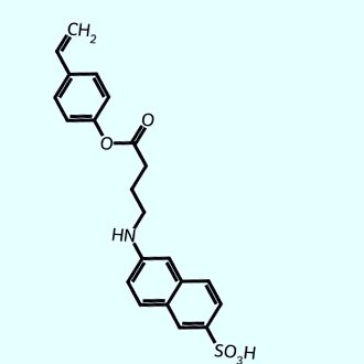 C=Cc1ccc(OC(=O)CCCNc2ccc3cc(S(=O)(=O)O)ccc3c2)cc1